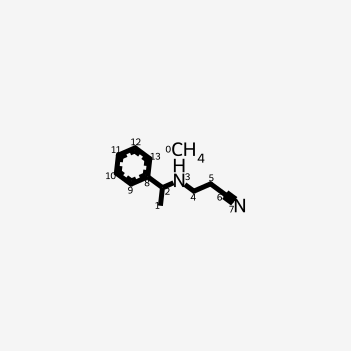 C.CC(NCCC#N)c1ccccc1